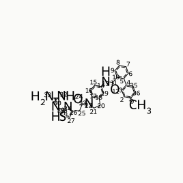 Cc1ccc(-c2ccccc2C(=O)Nc2ccc3c(c2)CCN3C(=O)Cc2csc(NC(=N)N)n2)cc1